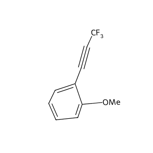 COc1ccccc1C#CC(F)(F)F